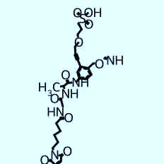 CC(NC(=O)CNC(=O)CCCCCN1C(=O)C=CC1=O)C(=O)Nc1ccc(COC=N)c(C#CCOCCCS(=O)(=O)O)c1